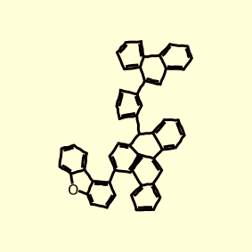 c1cc(-c2cc3ccccc3c3ccccc23)cc(C(c2ccc(-c3cccc4oc5ccccc5c34)cc2)c2ccccc2-c2ccc3ccccc3c2)c1